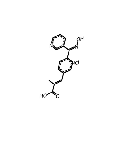 C/C(=C\c1ccc(/C(=N/O)c2cccnc2)cc1)C(=O)O.Cl